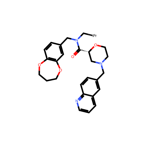 CC(C)CN(Cc1ccc2c(c1)OCCCO2)C(=O)[C@H]1CN(Cc2ccc3ncccc3c2)CCO1